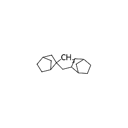 CC1(CC2CC3CCC2C3)CC2CCC1C2